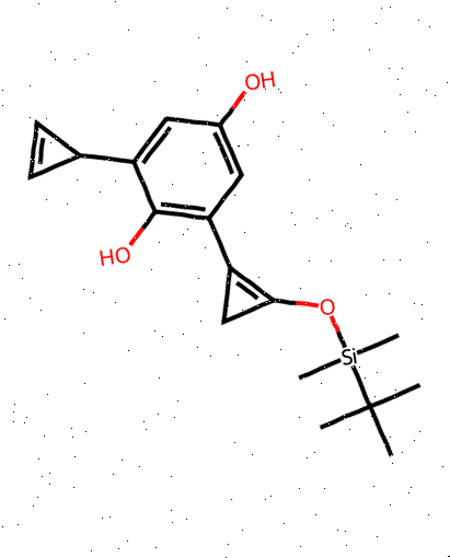 CC(C)(C)[Si](C)(C)OC1=C(c2cc(O)cc(C3C=C3)c2O)C1